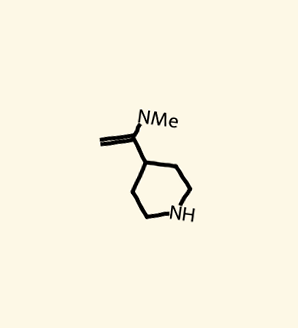 C=C(NC)C1CCNCC1